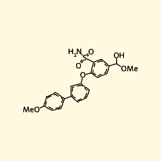 COc1ccc(-c2cccc(Oc3ccc(C(O)OC)cc3S(N)(=O)=O)c2)cc1